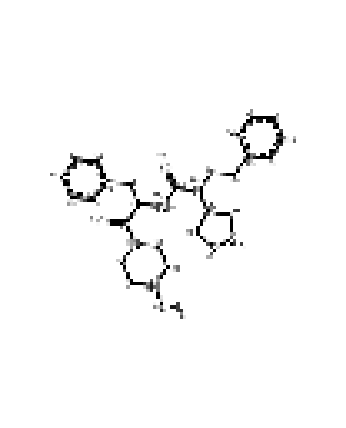 CN1CCN(C(=O)C(Cc2ccccc2)NC(=O)N(CCc2ccccc2)C2CSSC2)CC1